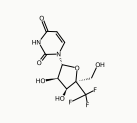 O=c1ccn([C@@H]2O[C@@](CO)(C(F)(F)F)[C@@H](O)[C@H]2O)c(=O)[nH]1